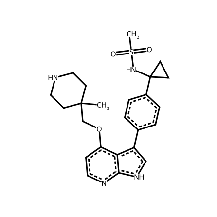 CC1(COc2ccnc3[nH]cc(-c4ccc(C5(NS(C)(=O)=O)CC5)cc4)c23)CCNCC1